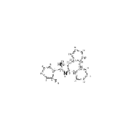 Fc1ccccc1-c1nc2c3ccccc3c3ccccc3c2[nH]1